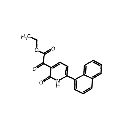 CCOC(=O)C(=O)c1ccc(-c2cccc3ccccc23)[nH]c1=O